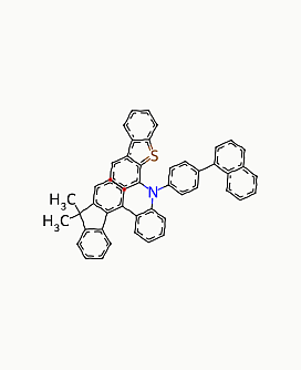 CC1(C)c2ccccc2-c2c(-c3ccccc3N(c3ccc(-c4cccc5ccccc45)cc3)c3cccc4c3sc3ccccc34)cccc21